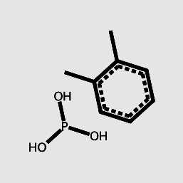 Cc1ccccc1C.OP(O)O